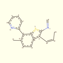 C=Nc1sc2c(-c3ccccn3)c(C)ccc2c1/C=C\C